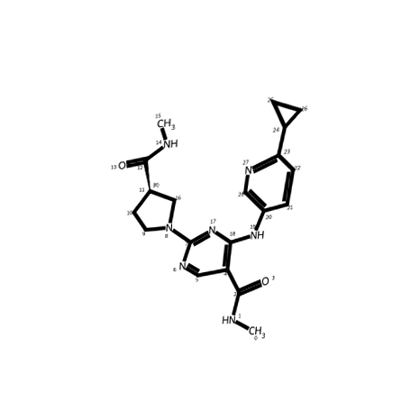 CNC(=O)c1cnc(N2CC[C@@H](C(=O)NC)C2)nc1Nc1ccc(C2CC2)nc1